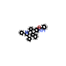 c1ccc(-c2cc(-c3ccccc3)nc(-c3ccccc3-c3ccc4ccccc4c3-c3ccc4c(c3)NC(c3ccccc3)O4)c2)cc1